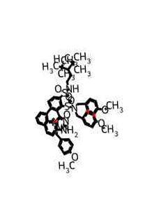 COc1ccc(CN(Cc2ccc(OC)cc2)S(=O)(=O)c2c(S(=O)(=O)NC[CH][C](C(C)(C)C)C(C)(C)C)ccc(-c3cccc4ccc(N)nc34)c2-c2nnn(Cc3ccc(OC)cc3)n2)cc1